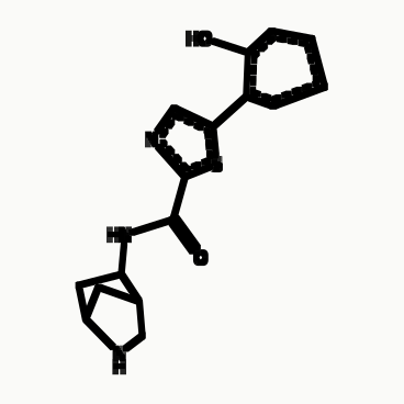 O=C(NC1CC2CC1CN2)c1ncc(-c2ccccc2O)s1